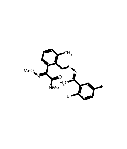 CNC(=O)/C(=N/OC)c1cccc(C)c1CO/N=C(\C)c1cc(F)ccc1Br